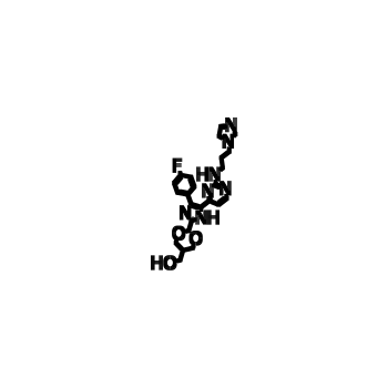 OCC1COC(c2nc(-c3ccc(F)cc3)c(-c3ccnc(NCCCN4CC=NC4)n3)[nH]2)OC1